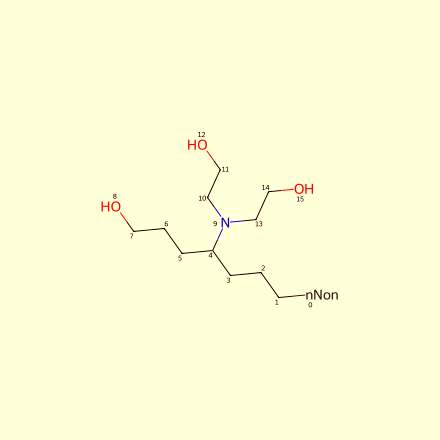 CCCCCCCCCCCCC(CCCO)N(CCO)CCO